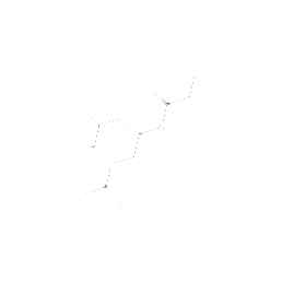 CCC(=O)NC(COC(C)C)OC(C)C